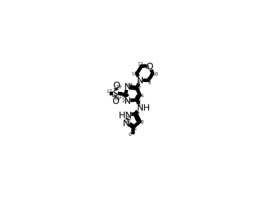 Cc1cc(Nc2cc(N3CCOCC3)nc(S(C)(=O)=O)n2)[nH]n1